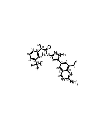 CCc1cc(-c2cc(NC(=O)C(C)c3cccc(C(F)(F)F)c3)nn2C)cc2cnc(N)nc12